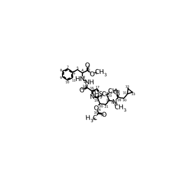 COC(=O)C(Cc1ccccc1)NNC(=O)c1csc(C(CC(C(C)C)N(C)C(=O)CC2CC2)OC(C)=O)n1